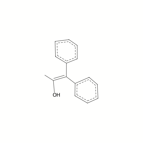 CC(O)=C(c1ccccc1)c1ccccc1